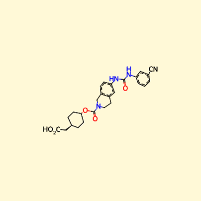 N#Cc1cccc(NC(=O)Nc2ccc3c(c2)CCN(C(=O)O[C@H]2CC[C@H](CC(=O)O)CC2)C3)c1